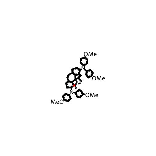 C=NN(C)C1(C(=C)C)c2cc(N(c3ccc(OC)cc3)c3ccc(OC)cc3)ccc2C=Cc2ccc(N(c3ccc(OC)cc3)c3ccc(OC)cc3)cc21